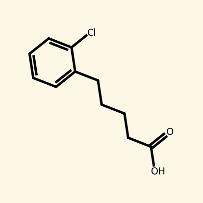 O=C(O)CCCCc1ccccc1Cl